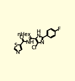 CCCCCC[C@H](NC(=O)c1cncs1)c1[nH]c(-c2ccc(F)cc2)nc1Cl